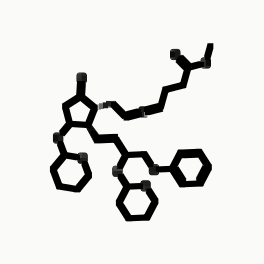 COC(=O)CCC=C=CC[C@H]1C(=O)CC(OC2CCCCO2)[C@@H]1/C=C/C(COc1ccccc1)OC1CCCCO1